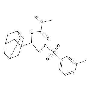 C=C(C)C(=O)OC(COS(=O)(=O)c1cccc(C)c1)C12CC3CC(CC(C3)C1)C2